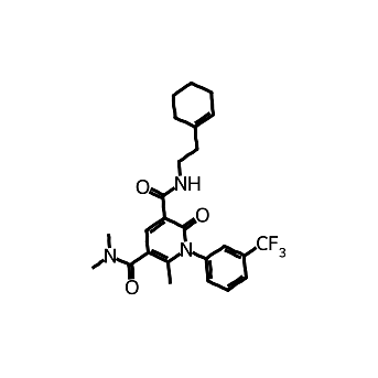 Cc1c(C(=O)N(C)C)cc(C(=O)NCCC2=CCCCC2)c(=O)n1-c1cccc(C(F)(F)F)c1